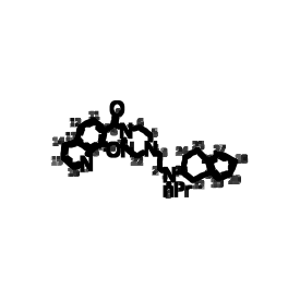 CCCN(CCN1CCN(C(=O)c2ccc3cccnc3c2O)CC1)[C@@H]1CCc2ccccc2C1